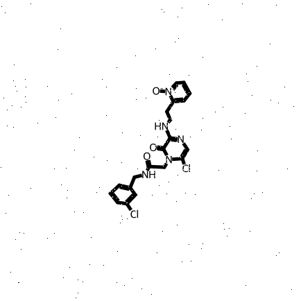 O=C(Cn1c(Cl)cnc(NCCc2cccc[n+]2[O-])c1=O)NCc1cccc(Cl)c1